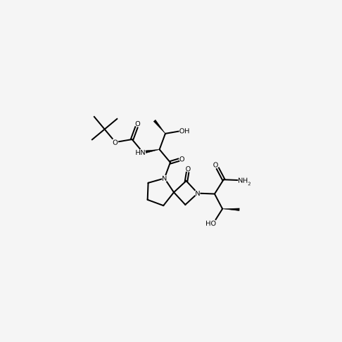 C[C@@H](O)C(C(N)=O)N1CC2(CCCN2C(=O)[C@@H](NC(=O)OC(C)(C)C)[C@@H](C)O)C1=O